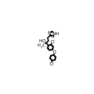 CC(O)(CCc1nc[nH]n1)c1ccc(Oc2ccc(Cl)cc2)cc1Cl